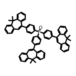 CC1(C)c2ccccc2C=C(c2ccc(P(=O)(c3ccc(C4=Cc5ccccc5C(C)(C)c5ccccc54)cc3)c3ccc(C4=Cc5ccccc5C(C)(C)c5ccccc54)cc3)cc2)c2ccccc21